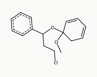 COC1(OC(CCCl)c2ccccc2)C=CC=CC1